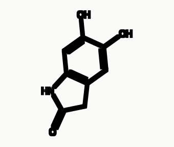 O=C1Cc2cc(O)c(O)cc2N1